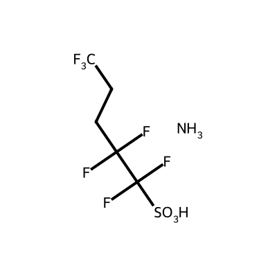 N.O=S(=O)(O)C(F)(F)C(F)(F)CCC(F)(F)F